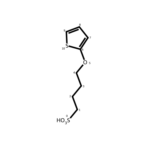 O=S(=O)(O)CCCCOc1cccs1